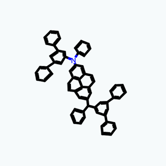 c1ccc(-c2cc(-c3ccccc3)cc(C(c3ccccc3)c3cc4ccc5cc(N(c6ccccc6)c6cc(-c7ccccc7)cc(-c7ccccc7)c6)cc6ccc(c3)c4c56)c2)cc1